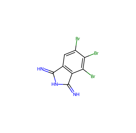 N=C1NC(=N)c2c1cc(Br)c(Br)c2Br